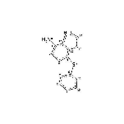 Nc1ccc(Sc2ccccc2)c2ccccc12